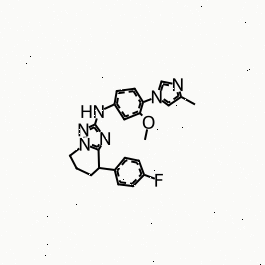 COc1cc(Nc2nc3n(n2)CCCC3c2ccc(F)cc2)ccc1-n1cnc(C)c1